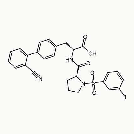 N#Cc1ccccc1-c1ccc(C[C@H](NC(=O)[C@@H]2CCCN2S(=O)(=O)c2cccc(I)c2)C(=O)O)cc1